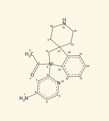 CC(=O)[N+]1(c2cc(N)ccn2)CC2(CCNCC2)c2ccccc21